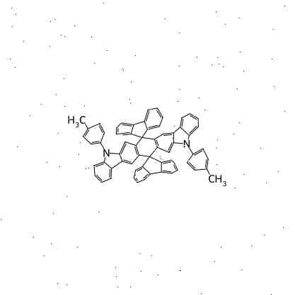 Cc1ccc(-n2c3ccccc3c3cc4c(cc32)C2(c3ccccc3-c3ccccc32)c2cc3c5ccccc5n(-c5ccc(C)cc5)c3cc2C42c3ccccc3-c3ccccc32)cc1